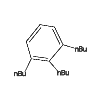 CCCCc1cccc(CCCC)c1CCCC